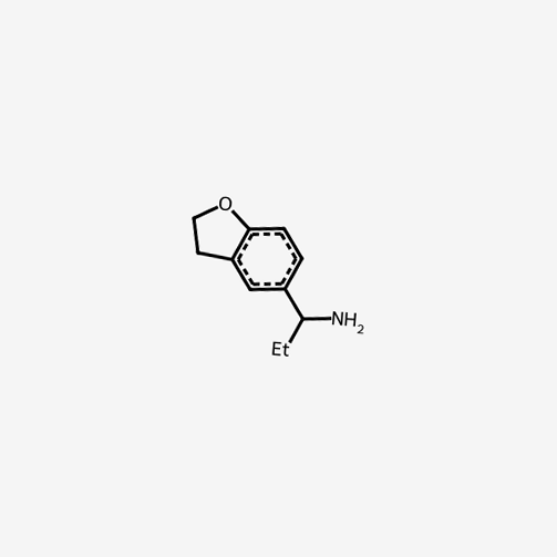 CCC(N)c1ccc2c(c1)CCO2